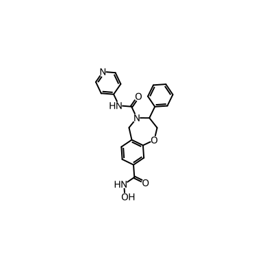 O=C(NO)c1ccc2c(c1)OCC(c1ccccc1)N(C(=O)Nc1ccncc1)C2